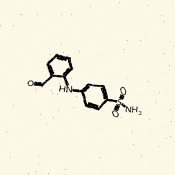 NS(=O)(=O)c1ccc(Nc2ccccc2[C]=O)cc1